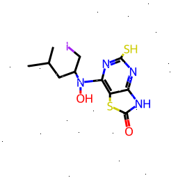 CC(C)CC(CI)N(O)c1nc(S)nc2[nH]c(=O)sc12